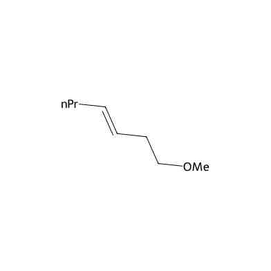 [CH2]CCC=CCCOC